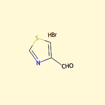 Br.O=Cc1cscn1